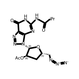 CC(=O)O[C@@H]1C[C@@H](CN=[N+]=[N-])O[C@H]1n1nnc2c(=O)[nH]c(NC(=O)C(C)C)nc21